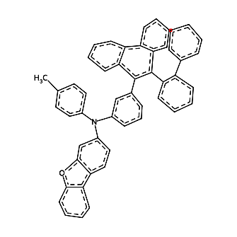 Cc1ccc(N(c2cccc(-c3c(-c4ccccc4-c4ccccc4)c4ccccc4c4ccccc34)c2)c2ccc3c(c2)oc2ccccc23)cc1